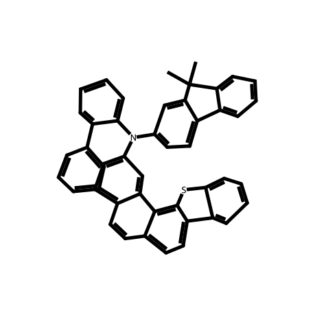 CC1(C)c2ccccc2-c2ccc(N(c3ccc4ccc5ccc6c7ccccc7sc6c5c4c3)c3ccccc3-c3ccccc3)cc21